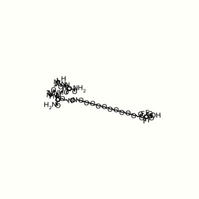 CCn1nc(C)cc1C(=O)Nc1nc2cc(C(N)=O)cc(OC)c2n1C/C=C/Cn1c(NC(=O)c2cc(C)nn2CC)nc2cc(C(N)=O)cc(OCCCN3CCN(CCOCCOCCOCCOCCOCCOCCOCCOCCOCCOCCC(=O)Oc4c(F)c(F)c(S(=O)(=O)O)c(F)c4F)CC3)c21